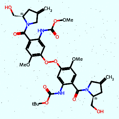 C=C1C[C@@H](CO)N(C(=O)c2cc(OC)c(OOc3cc(NC(=O)OC(C)(C)C)c(C(=O)N4CC(=C)C[C@H]4CO)cc3OC)cc2NC(=O)OOC)C1